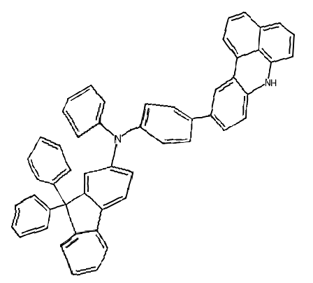 c1ccc(N(c2ccc(-c3ccc4c(c3)-c3cccc5cccc(c35)N4)cc2)c2ccc3c(c2)C(c2ccccc2)(c2ccccc2)c2ccccc2-3)cc1